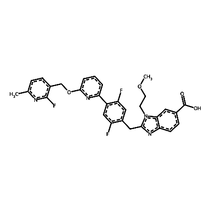 COCCn1c(Cc2cc(F)c(-c3cccc(OCc4ccc(C)nc4F)n3)cc2F)nc2ccc(C(=O)O)cc21